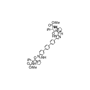 COC(=O)NC(C(=O)N1[C@@H]2CC[C@@H](C2)[C@H]1c1ncc(-c2ccc(-c3ccc(-c4ccc5nc([C@@H]6CCCN6C(=O)[C@@H](NC(=O)OC)C(C)C)[nH]c5c4)cc3)cc2)[nH]1)C(C)C